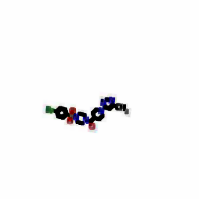 Cc1cc(N2CCC(C(=O)N3CCN(S(=O)(=O)c4ccc(Br)cc4)CC3)CC2)ncn1